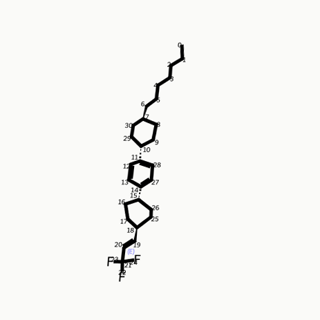 CCCCCCC[C@H]1CC[C@H](c2ccc([C@H]3CC[C@H](/C=C/C(F)(F)F)CC3)cc2)CC1